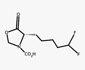 O=C1OCN(C(=O)O)[C@H]1CCCCC(F)F